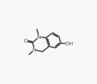 CN1Cc2cc(O)ccc2N(C)C1=O